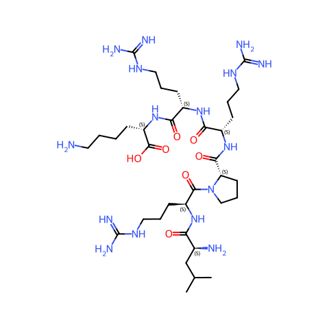 CC(C)C[C@H](N)C(=O)N[C@@H](CCCNC(=N)N)C(=O)N1CCC[C@H]1C(=O)N[C@@H](CCCNC(=N)N)C(=O)N[C@@H](CCCNC(=N)N)C(=O)N[C@@H](CCCCN)C(=O)O